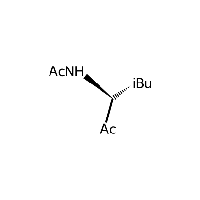 CC[C@@H](C)[C@H](NC(C)=O)C(C)=O